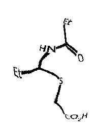 CCC(=O)NC(CC)SCC(=O)O